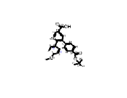 C/C=C(\C=C/COC)c1ncc(C(=O)O)cc1-c1ccc(C(=O)OC(C)(C)C)cc1